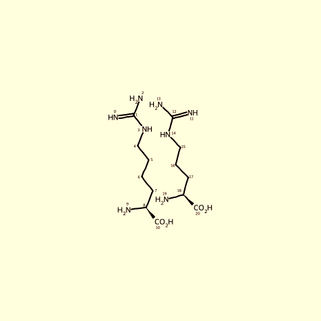 N=C(N)NCCCC[C@H](N)C(=O)O.N=C(N)NCCC[C@H](N)C(=O)O